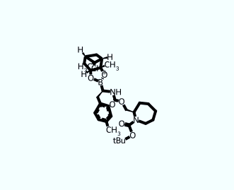 Cc1ccc(C[C@H](NC(=O)OC[C@H]2CCCCCN2C(=O)OC(C)(C)C)B2O[C@@H]3C[C@@H]4C[C@@H](C4(C)C)[C@]3(C)O2)cc1